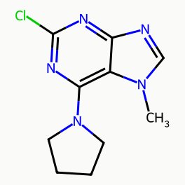 Cn1cnc2nc(Cl)nc(N3CCCC3)c21